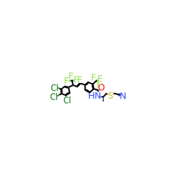 C[C@H](CSCC#N)NC(=O)c1ccc(/C(F)=C/C(c2cc(Cl)c(Cl)c(Cl)c2)C(F)(F)F)cc1C(F)(F)F